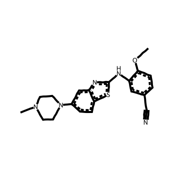 COc1ccc(C#N)cc1Nc1nc2cc(N3CCN(C)CC3)ccc2s1